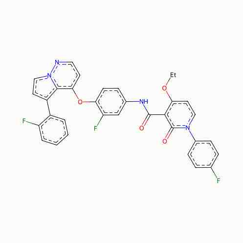 CCOc1ccn(-c2ccc(F)cc2)c(=O)c1C(=O)Nc1ccc(Oc2ccnn3ccc(-c4ccccc4F)c23)c(F)c1